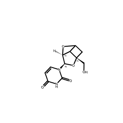 O=c1ccn([C@@H]2O[C@@]3(CO)CC4O[C@H]2C43)c(=O)[nH]1